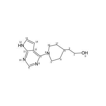 OCCC1CCN(c2ncnc3[nH]ccc23)CC1